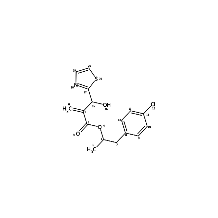 C=C(C(=O)OC(C)Cc1ccc(Cl)cc1)C(O)c1nccs1